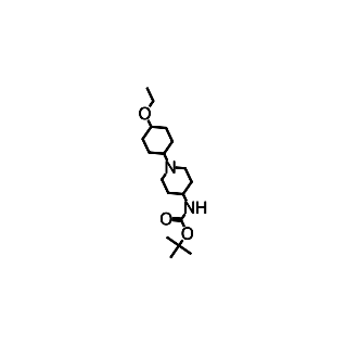 CCOC1CCC(N2CCC(NC(=O)OC(C)(C)C)CC2)CC1